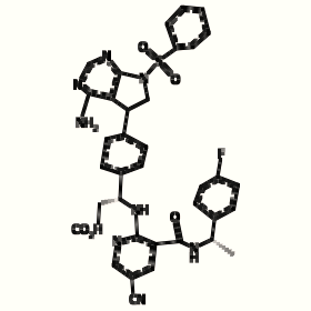 C[C@H](NC(=O)c1cc(C#N)cnc1N[C@H](CC(=O)O)c1ccc(C2CN(S(=O)(=O)c3ccccc3)c3ncnc(N)c32)cc1)c1ccc(F)cc1